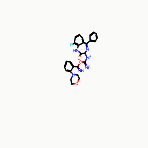 N=C(NC1N=C(c2ccccc2)c2cccc(F)c2NC1=O)OC(=N)c1ccccc1N1CCOCC1